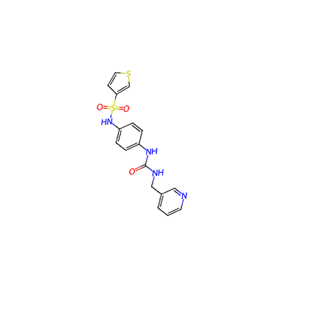 O=C(NCc1cccnc1)Nc1ccc(NS(=O)(=O)c2ccsc2)cc1